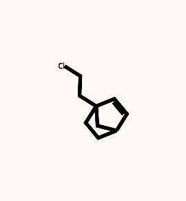 ClCCC12C=CC(CC1)C2